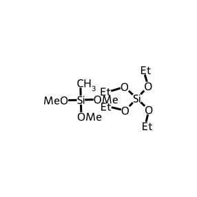 CCO[Si](OCC)(OCC)OCC.CO[Si](C)(OC)OC